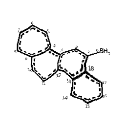 Bc1cc2c3ccccc3ccc2c2ccccc12